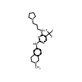 CN1CCc2cc(Nc3ncc(C(F)(F)F)c(NCCCN4CCCC4)n3)ccc2C1